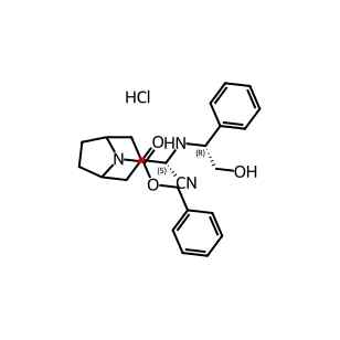 Cl.N#C[C@@H](N[C@@H](CO)c1ccccc1)C1CC2CCC(C1)N2C(=O)OCc1ccccc1